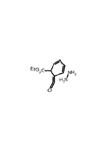 CCOC(=O)C1C=CC=CC1=C=O.NN